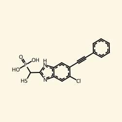 O=P(O)(O)C(S)c1nc2cc(Cl)c(C#Cc3ccccc3)cc2[nH]1